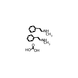 CNC=Cc1ccccc1.CNC=Cc1ccccc1.O=C(O)O